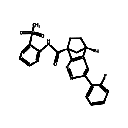 CS(=O)(=O)c1ccccc1NC(=O)[C@@]12CC[C@@H](C1)c1cc(-c3ccccc3F)nnc12